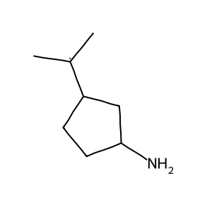 C[C](C)C1CCC(N)C1